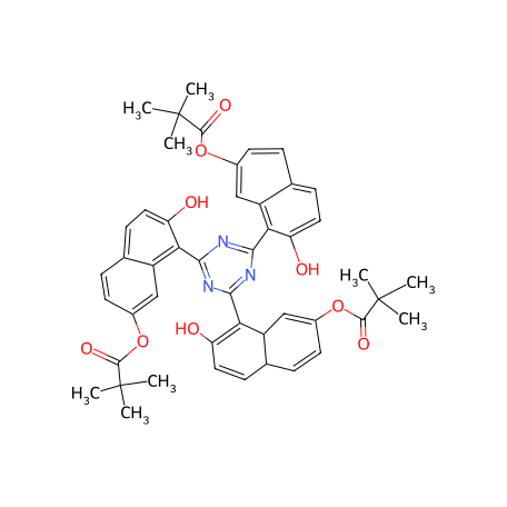 CC(C)(C)C(=O)OC1=CC2C(c3nc(-c4c(O)ccc5ccc(OC(=O)C(C)(C)C)cc45)nc(-c4c(O)ccc5ccc(OC(=O)C(C)(C)C)cc45)n3)=C(O)C=CC2C=C1